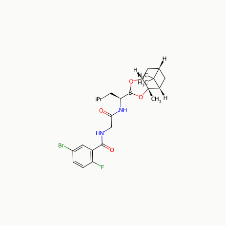 CC(C)C[C@H](NC(=O)CNC(=O)c1cc(Br)ccc1F)B1O[C@@H]2C[C@@H]3C[C@@H](C3(C)C)[C@]2(C)O1